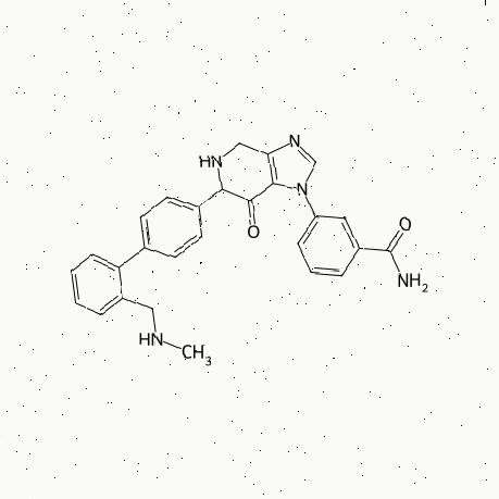 CNCc1ccccc1-c1ccc(C2NCc3ncn(-c4cccc(C(N)=O)c4)c3C2=O)cc1